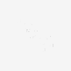 O=C(Oc1c[c]c(Cl)cn1)c1cc(Cl)c(Cl)c(Cl)c1